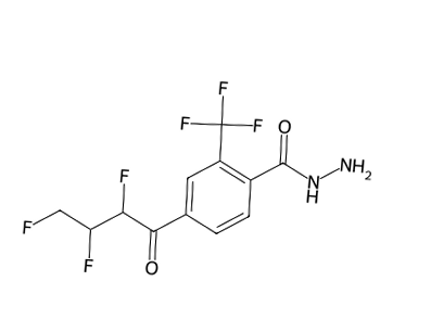 NNC(=O)c1ccc(C(=O)C(F)C(F)CF)cc1C(F)(F)F